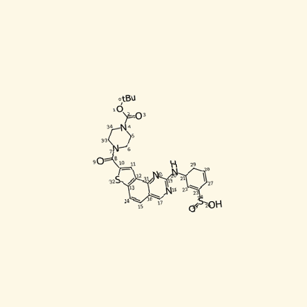 CC(C)(C)OC(=O)N1CCN(C(=O)c2cc3c(ccc4cnc(NC5C=C(S(=O)O)C=CC5)nc43)s2)CC1